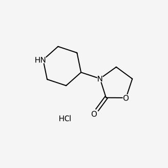 Cl.O=C1OCCN1C1CCNCC1